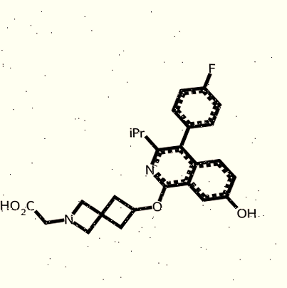 CC(C)c1nc(OC2CC3(C2)CN(CC(=O)O)C3)c2cc(O)ccc2c1-c1ccc(F)cc1